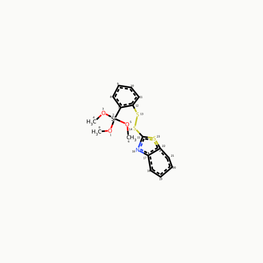 CO[Si](OC)(OC)c1ccccc1SSc1nc2ccccc2s1